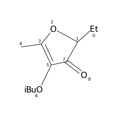 CCC1OC(C)=C(OCC(C)C)C1=O